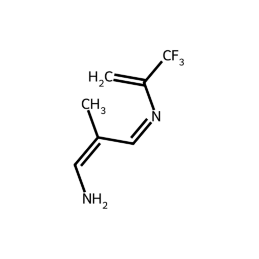 C=C(/N=C\C(C)=C/N)C(F)(F)F